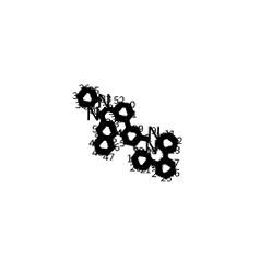 c1cc(-c2cccc(-c3nc4cccc5c4n3-c3ccccc3-c3ccccc3-5)c2)cc(-c2nc3ccccc3nc2-c2ccc3ccccc3c2)c1